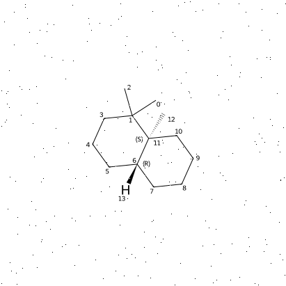 CC1(C)CCC[C@H]2CCCC[C@@]21C